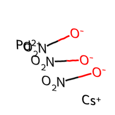 O=[N+]([O-])[O-].O=[N+]([O-])[O-].O=[N+]([O-])[O-].[Cs+].[Pd+2]